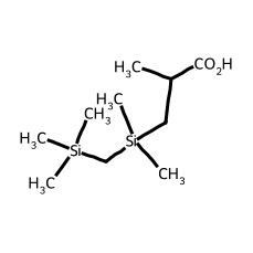 CC(C[Si](C)(C)C[Si](C)(C)C)C(=O)O